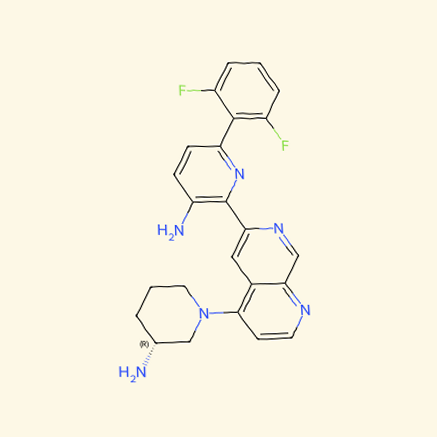 Nc1ccc(-c2c(F)cccc2F)nc1-c1cc2c(N3CCC[C@@H](N)C3)ccnc2cn1